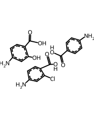 Nc1ccc(C(=O)O)c(Cl)c1.Nc1ccc(C(=O)O)c(O)c1.Nc1ccc(C(=O)O)cc1